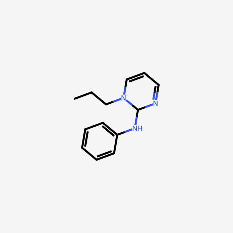 CCCN1C=CC=NC1Nc1ccccc1